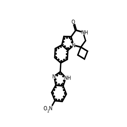 O=C1NCC2(CCC2)n2c1cc1ccc(-c3nc4cc([N+](=O)[O-])ccc4[nH]3)cc12